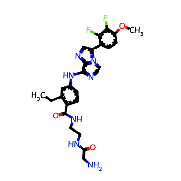 CCc1cc(Nc2nccn3c(-c4ccc(OC)c(F)c4F)cnc23)ccc1C(=O)NCCNC(=O)CN